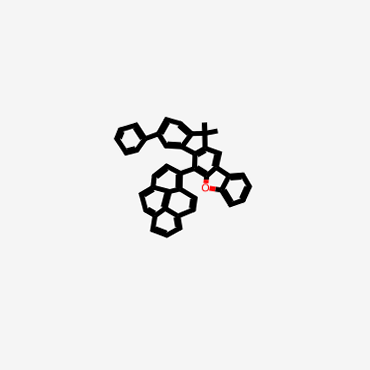 CC1(C)c2ccc(-c3ccccc3)cc2-c2c1cc1c(oc3ccccc31)c2-c1ccc2ccc3cccc4ccc1c2c34